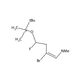 CN/C=C(/Br)CC(F)O[Si](C)(C)C(C)(C)C